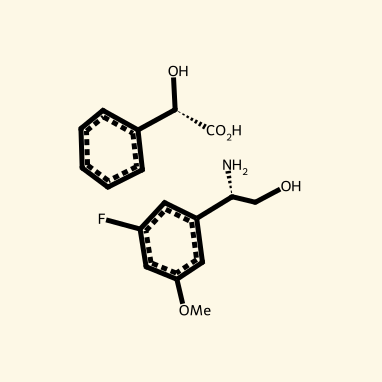 COc1cc(F)cc([C@H](N)CO)c1.O=C(O)[C@@H](O)c1ccccc1